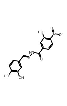 O=C(NN=Cc1ccc(O)c(O)c1)c1ccc([N+](=O)[O-])c(O)c1